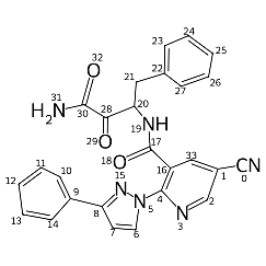 N#Cc1cnc(-n2ccc(-c3ccccc3)n2)c(C(=O)NC(Cc2ccccc2)C(=O)C(N)=O)c1